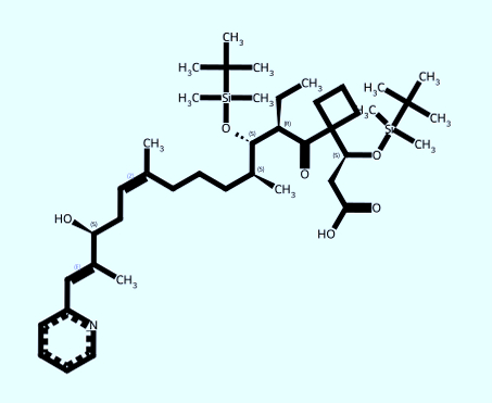 CC[C@@H](C(=O)C1([C@H](CC(=O)O)O[Si](C)(C)C(C)(C)C)CCC1)[C@@H](O[Si](C)(C)C(C)(C)C)[C@@H](C)CCC/C(C)=C\C[C@H](O)/C(C)=C/c1ccccn1